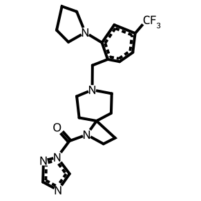 O=C(N1CCC12CCN(Cc1ccc(C(F)(F)F)cc1N1CCCC1)CC2)n1cncn1